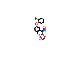 CO/N=C(/C1=NOCCO1)c1cc(Oc2ccccc2F)ccc1C